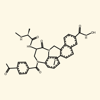 CN[C@@H](C)C(=O)NC1CN(C(=O)c2ccc(C(C)=O)cc2)c2ccccc2N(Cc2c(OC)ccc3cc(C(=O)NO)ccc23)C1=O